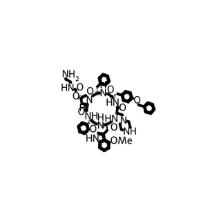 COc1cccc2[nH]cc(C[C@H]3NC(=O)[C@H](c4ccccc4)NC(=O)[C@@H]4C[C@@H](OC(=O)NCCN)CN4C(=O)[C@H](Cc4ccccc4)NC(=O)[C@H](Cc4ccc(OCc5ccccc5)cc4)NC(=O)C(CN4CCNCC4)NC3=O)c12